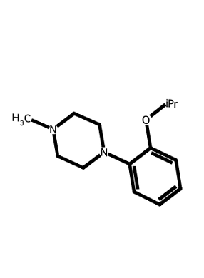 CC(C)Oc1ccccc1N1CCN(C)CC1